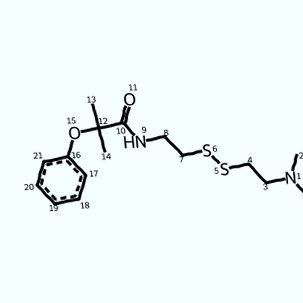 CN(C)CCSSCCNC(=O)C(C)(C)Oc1ccccc1